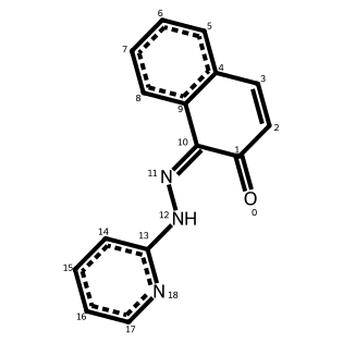 O=C1C=Cc2ccccc2C1=NNc1ccccn1